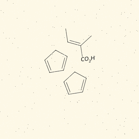 C1=CCC=C1.C1=CCC=C1.CC=C(C)C(=O)O